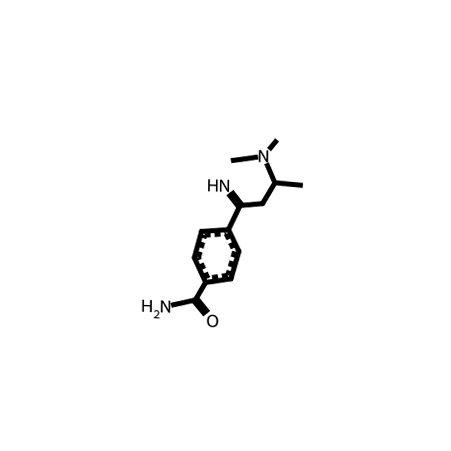 CC(CC(=N)c1ccc(C(N)=O)cc1)N(C)C